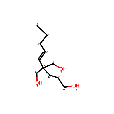 CCCC=CC(CO)(CO)CCCO